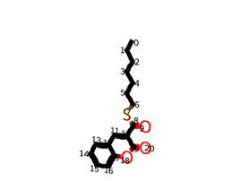 CCCCCCCSC(=O)c1cc2ccccc2oc1=O